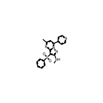 CNc1nn2c(-c3ccncc3)cc(C)nc2c1S(=O)(=O)c1ccccc1